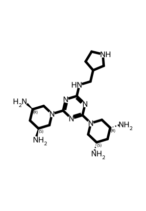 N[C@@H]1C[C@H](N)CN(c2nc(NCC3CCNC3)nc(N3C[C@H](N)C[C@H](N)C3)n2)C1